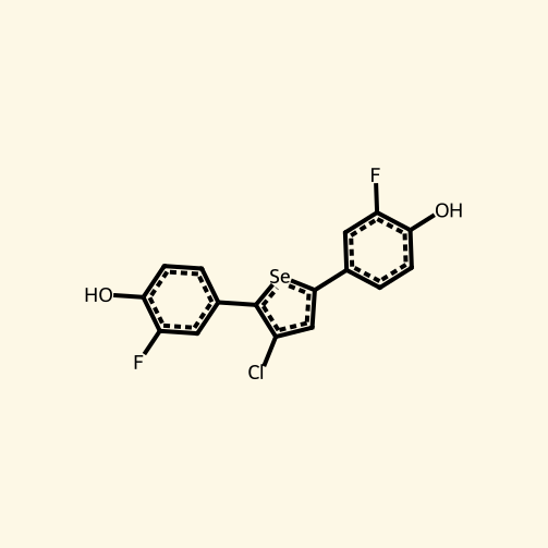 Oc1ccc(-c2cc(Cl)c(-c3ccc(O)c(F)c3)[se]2)cc1F